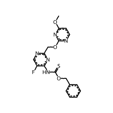 COc1ccnc(OCc2ncc(F)c(NC(=S)OCc3ccccc3)n2)n1